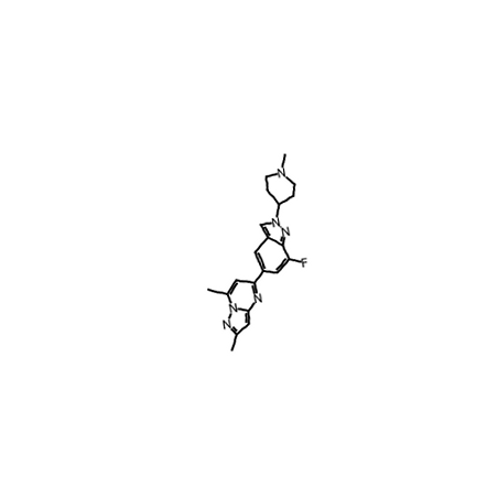 Cc1cc2nc(-c3cc(F)c4nn(C5CCN(C)CC5)cc4c3)cc(C)n2n1